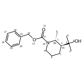 C[C@@H]1[C@@H](C(C)(C)O)CCCN1C(=O)OCc1ccccc1